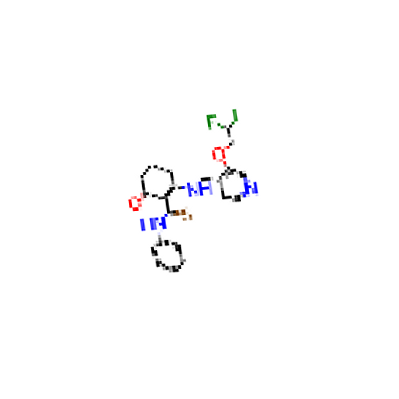 O=C1CCCC(NCc2ccncc2OCC(F)F)=C1C(=S)Nc1ccccc1